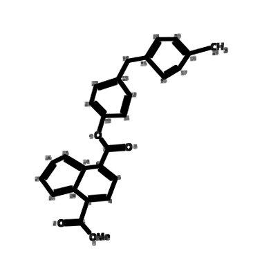 COC(=O)c1ccc(C(=O)Oc2ccc(Cc3ccc(C)cc3)cc2)c2ccccc12